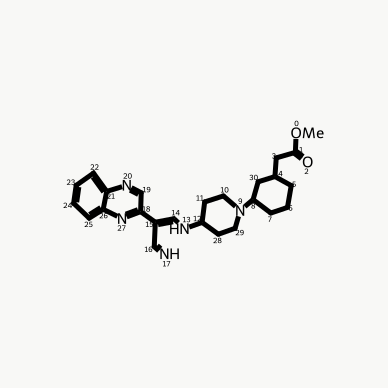 COC(=O)CC1CCCC(N2CCC(N/C=C(\C=N)c3cnc4ccccc4n3)CC2)C1